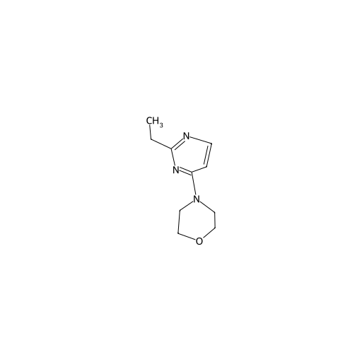 CCc1nccc(N2CCOCC2)n1